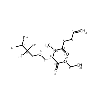 C=CCCC(=O)N(C)[C@@H](COCC(F)(F)C(F)F)C(=O)OCC#N